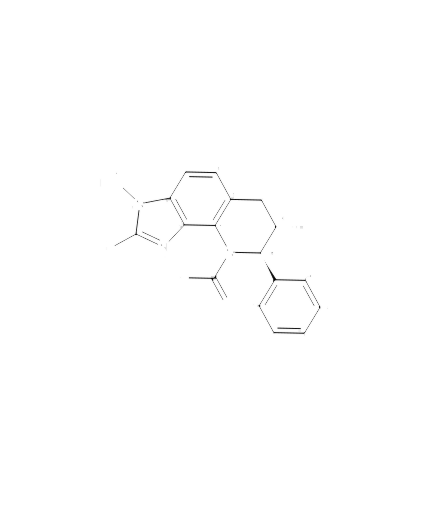 CC(=O)N1c2c(ccc3c2nc(C)n3C)C[C@H](O)[C@H]1c1ccccc1